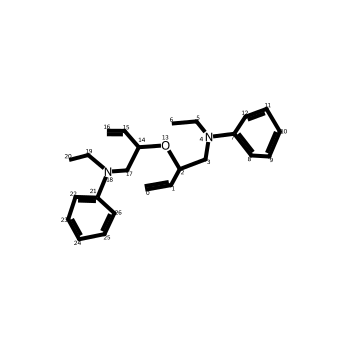 C=CC(CN(CC)c1ccccc1)OC(C=C)CN(CC)c1ccccc1